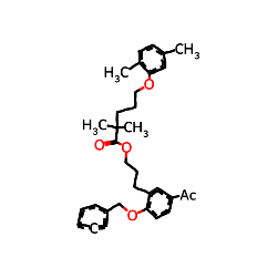 CC(=O)c1ccc(OCc2ccccc2)c(CCCOC(=O)C(C)(C)CCCOc2cc(C)ccc2C)c1